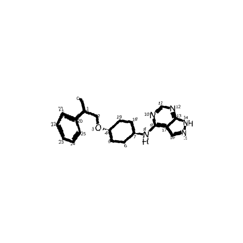 CC(CO[C@H]1CC[C@H](Nc2ncnc3[nH]ncc23)CC1)c1ccccc1